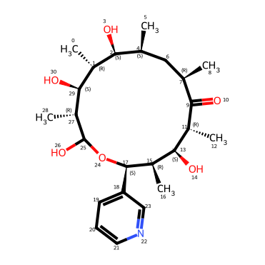 C[C@@H]1[C@@H](O)[C@@H](C)C[C@@H](C)C(=O)[C@H](C)[C@@H](O)[C@@H](C)[C@@H](c2cccnc2)OC(O)[C@H](C)[C@H]1O